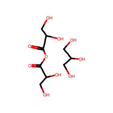 O=C(OC(=O)C(O)CO)C(O)CO.OCC(O)CO